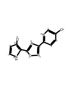 Clc1ccc(-c2noc(-c3[nH]ccc3Cl)n2)nc1